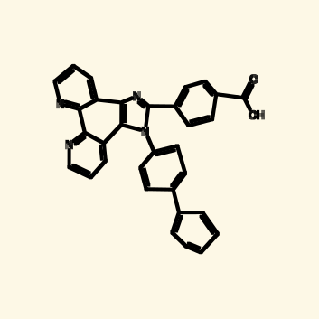 O=C(O)c1ccc(-c2nc3c4cccnc4c4ncccc4c3n2-c2ccc(-c3ccccc3)cc2)cc1